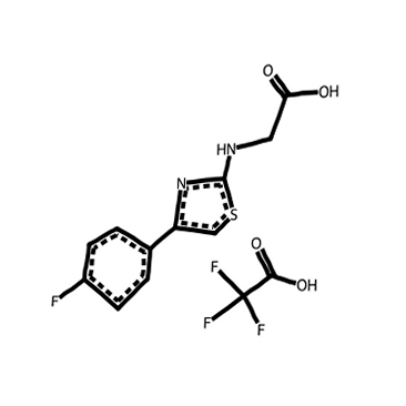 O=C(O)C(F)(F)F.O=C(O)CNc1nc(-c2ccc(F)cc2)cs1